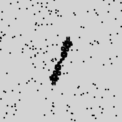 CC1(C)CC(OC(=O)c2ccc(CCCCc3ccc(C(=O)OC4CC(C)(C)NC(C)(C)C4)cc3)cc2)CC(C)(C)N1